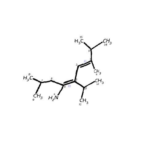 C/C(=C\C(=C(\N)CC(C)C)C(C)C)C(C)C